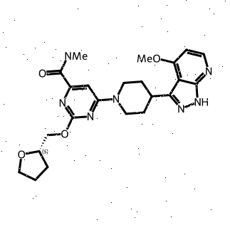 CNC(=O)c1cc(N2CCC(c3n[nH]c4nccc(OC)c34)CC2)nc(OC[C@@H]2CCCO2)n1